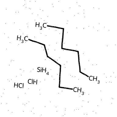 CCCCCC.CCCCCC.Cl.Cl.[SiH4]